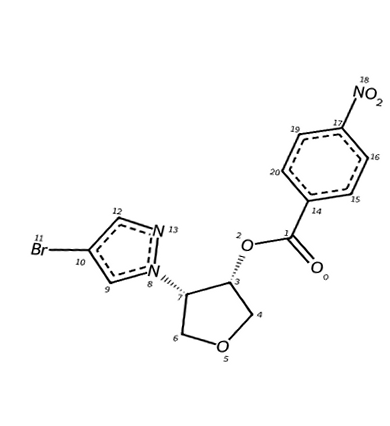 O=C(O[C@@H]1COC[C@@H]1n1cc(Br)cn1)c1ccc([N+](=O)[O-])cc1